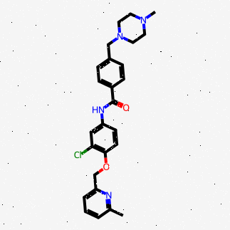 Cc1cccc(COc2ccc(NC(=O)c3ccc(CN4CCN(C)CC4)cc3)cc2Cl)n1